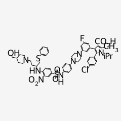 Cc1c(C(=O)O)c(-c2cc(F)cc(N3CCN(c4ccc(NS(=O)(=O)c5ccc(NC(CCN6CCC(CO)CC6)CSc6ccccc6)c([N+](=O)[O-])c5)cc4)CC3)c2)c(-c2ccc(Cl)cc2)n1C(C)C